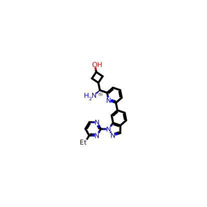 CCc1ccnc(-n2ncc3ccc(-c4cccc([C@@H](N)C5CC(O)C5)n4)cc32)n1